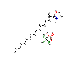 CCCCCCCCCCCCCCCC(C)C1=[N+](C)CCO1.O=S(=O)([O-])C(F)(F)F